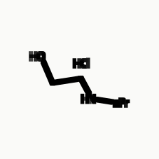 CCCNCCO.Cl